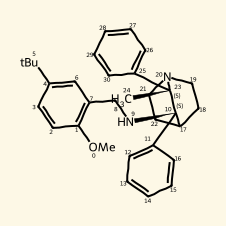 COc1ccc(C(C)(C)C)cc1CN[C@]1(c2ccccc2)C2CCN(CC2)[C@@]1(C)c1ccccc1